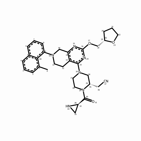 Cc1cccc2cccc(N3CCc4c(nc(OC[C@@H]5CCCO5)nc4N4CCN(C(=O)[C@H]5CN5)[C@@H](CC#N)C4)C3)c12